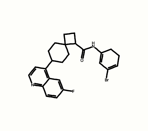 O=C(NC1=CC(Br)=CCC1)C1CCC12CCC(c1ccnc3ccc(F)cc13)CC2